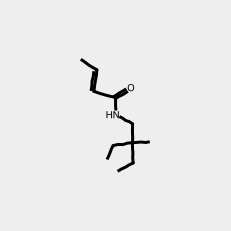 C/C=C/C(=O)NCC(C)(CC)CC